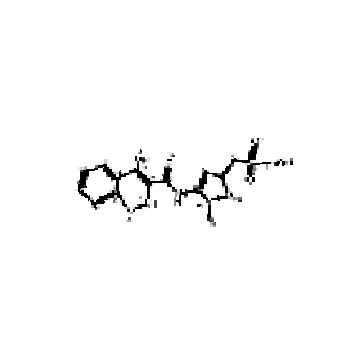 CCCCCCCCS(=O)(=O)CC1C=C(NC(=O)C2=C(O)c3ccccc3SN2)N(C)O1